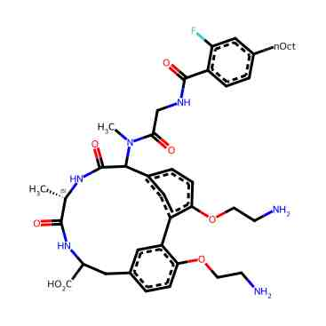 CCCCCCCCc1ccc(C(=O)NCC(=O)N(C)C2C(=O)N[C@@H](C)C(=O)NC(C(=O)O)Cc3ccc(OCCN)c(c3)-c3cc2ccc3OCCN)c(F)c1